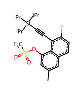 Cc1cc(OS(=O)(=O)C(F)(F)F)c2c(C#C[Si](C(C)C)(C(C)C)C(C)C)c(F)ccc2c1